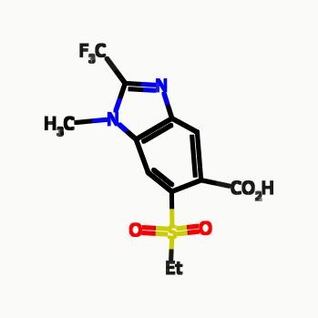 CCS(=O)(=O)c1cc2c(cc1C(=O)O)nc(C(F)(F)F)n2C